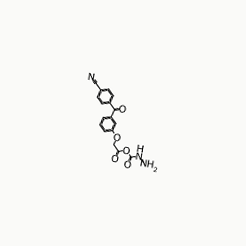 N#Cc1ccc(C(=O)c2cccc(OCC(=O)OC(=O)NN)c2)cc1